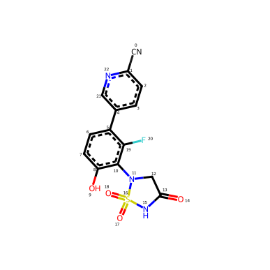 N#Cc1ccc(-c2ccc(O)c(N3CC(=O)NS3(=O)=O)c2F)cn1